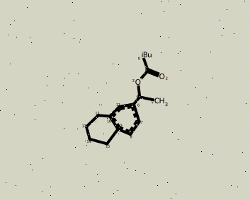 CCC(C)C(=O)OC(C)c1ccc2c(c1)CCCC2